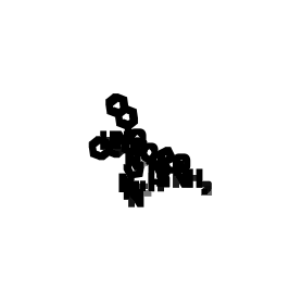 CSC(C(N)=O)C1(NC(=O)[C@@H]2CC(N=[N+]=[N-])CN2C(=O)[C@@H](CC2CCCCC2)NC(=O)c2ccc3ccccc3c2)CCC1